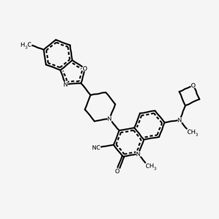 Cc1ccc2oc(C3CCN(c4c(C#N)c(=O)n(C)c5cc(N(C)C6COC6)ccc45)CC3)nc2c1